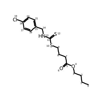 CCCCOC(=O)CCCSC(=S)NCc1ccc(Cl)cc1